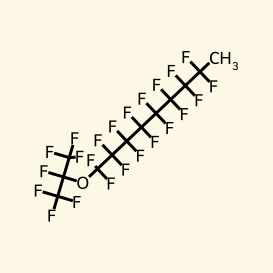 CC(F)(F)C(F)(F)C(F)(F)C(F)(F)C(F)(F)C(F)(F)C(F)(F)C(F)(F)OC(F)(C(F)(F)F)C(F)(F)F